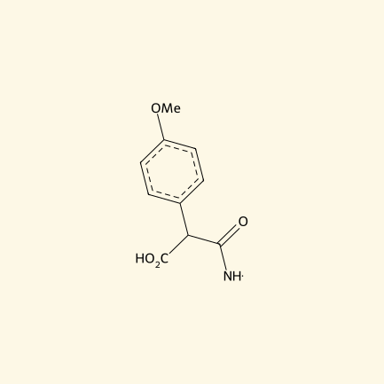 COc1ccc(C(C([NH])=O)C(=O)O)cc1